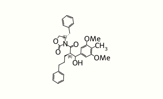 COc1cc(C(O)[C@@H](CCCc2ccccc2)C(=O)N2C(=O)OC[C@@H]2Cc2ccccc2)cc(OC)c1C